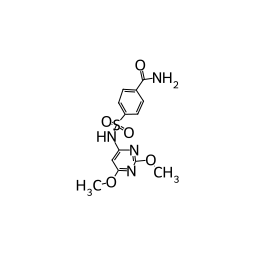 COc1cc(NS(=O)(=O)c2ccc(C(N)=O)cc2)nc(OC)n1